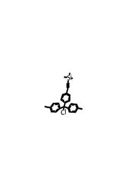 Cc1ccc(C(Cl)(c2ccc(C)cc2)c2ccc(C#C[Si](C)(C)C)cc2)cc1